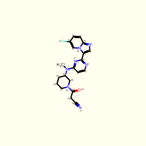 CN(c1ccnc(-c2cnc3ccc(F)cn23)n1)[C@@H]1CCCN(C(=O)CC#N)C1